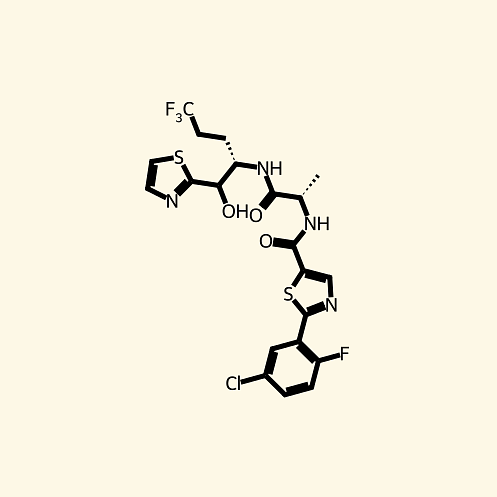 C[C@H](NC(=O)c1cnc(-c2cc(Cl)ccc2F)s1)C(=O)N[C@@H](CCC(F)(F)F)C(O)c1nccs1